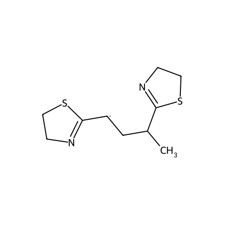 CC(C[CH]C1=NCCS1)C1=NCCS1